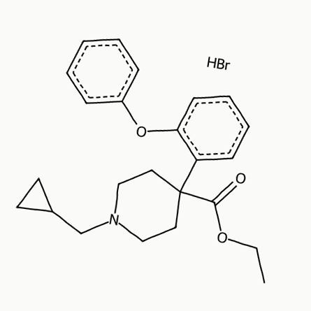 Br.CCOC(=O)C1(c2ccccc2Oc2ccccc2)CCN(CC2CC2)CC1